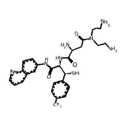 NCCN(CCN)C(=O)C[C@H](N)C(=O)N[C@H](C(=O)Nc1ccc2ncccc2c1)[C@@H](S)c1ccc(C(F)(F)F)cc1